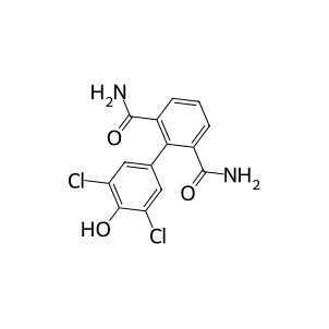 NC(=O)c1cccc(C(N)=O)c1-c1cc(Cl)c(O)c(Cl)c1